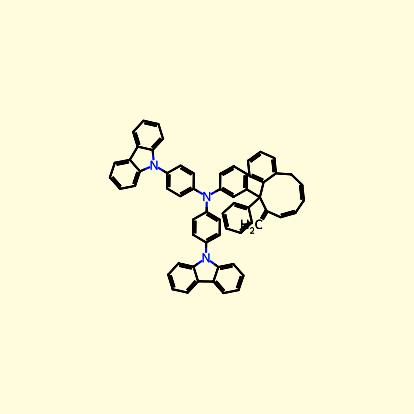 C=C1/C=C\C=C/Cc2ccccc2C1(c1ccccc1)c1cccc(N(c2ccc(-n3c4ccccc4c4ccccc43)cc2)c2ccc(-n3c4ccccc4c4ccccc43)cc2)c1